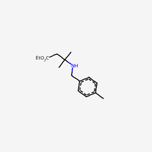 CCOC(=O)CC(C)(C)NCc1ccc(C)cc1